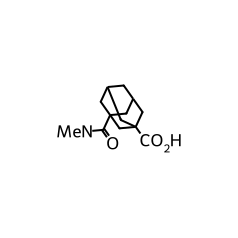 CNC(=O)C12CC3CC(CC(C(=O)O)(C3)C1)C2